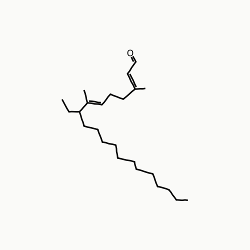 CCCCCCCCCCCCC(CC)C(C)=CCCC(C)=CC=O